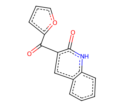 O=C(c1ccco1)c1cc2ccccc2[nH]c1=O